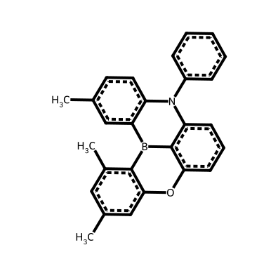 Cc1cc(C)c2c(c1)Oc1cccc3c1B2c1cc(C)ccc1N3c1ccccc1